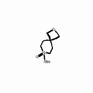 CN[SH]1(=O)CCC2(CC1)COC2